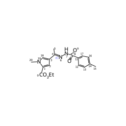 CCOC(=O)c1cc(/C(C)=N/NS(=O)(=O)c2ccc(C)cc2)cn1C